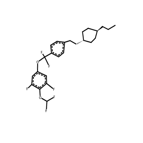 CCC[C@H]1CC[C@H](CCc2ccc(C(F)(F)Oc3cc(F)c(OC(F)F)c(F)c3)cc2)CC1